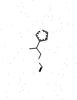 CC(COC=O)c1cc[nH]c1